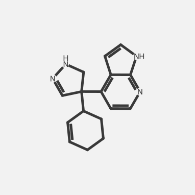 C1=CC(C2(c3ccnc4[nH]ccc34)C=NNC2)CCC1